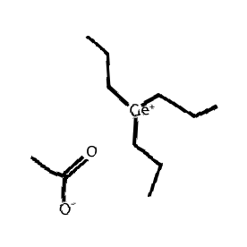 CC(=O)[O-].CC[CH2][Ge+]([CH2]CC)[CH2]CC